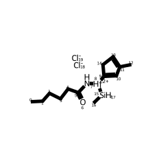 CCCCCC(=O)[NH][Hf+2]([C]1=CC(C)=CC1)[SiH](C)C.[Cl-].[Cl-]